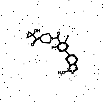 Cn1ncc2ccc(-c3cc(F)c(C(=O)N4CCN(C(=O)C5(O)CC5)CC4)c(F)c3)cc21